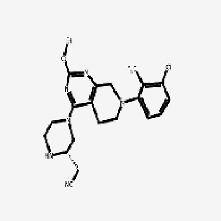 CCOc1nc2c(c(N3CCN[C@@H](CC#N)C3)n1)CCN(c1cccc(Cl)c1C(F)(F)F)C2